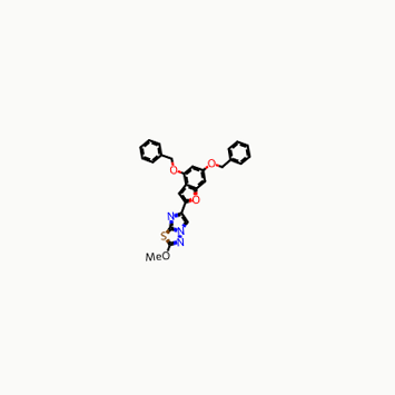 COc1nn2cc(-c3cc4c(OCc5ccccc5)cc(OCc5ccccc5)cc4o3)nc2s1